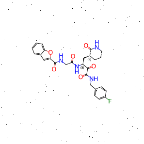 O=C(CNC(=O)c1cc2ccccc2o1)N[C@@H](C[C@@H]1CCCNC1=O)C(=O)C(=O)NCc1ccc(F)cc1